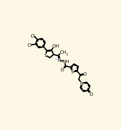 C/C(=N\NC(=O)c1ccc(C(=O)Cn2ccc(=O)cc2)s1)C1CSC(c2ccc(Cl)c(Cl)c2)=C1O